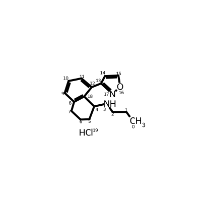 CCCNC1CCCc2cccc(-c3ccon3)c21.Cl